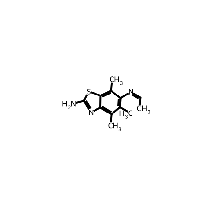 C/C=N\c1c(C)c(C)c2nc(N)sc2c1C